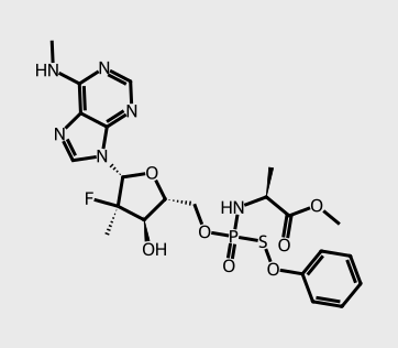 CNc1ncnc2c1ncn2[C@@H]1O[C@H](COP(=O)(N[C@@H](C)C(=O)OC)SOc2ccccc2)[C@@H](O)[C@@]1(C)F